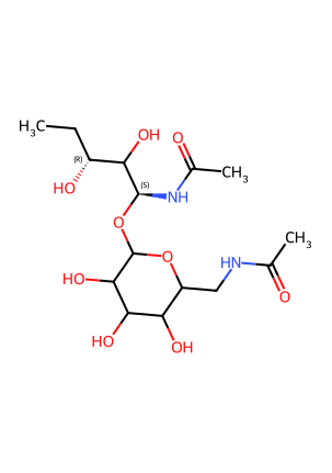 CC[C@@H](O)C(O)[C@@H](NC(C)=O)OC1OC(CNC(C)=O)C(O)C(O)C1O